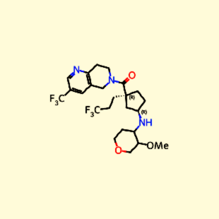 COC1COCCC1N[C@@H]1CC[C@](CCC(F)(F)F)(C(=O)N2CCc3ncc(C(F)(F)F)cc3C2)C1